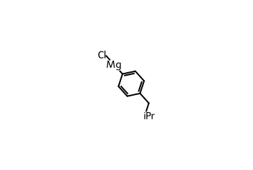 CC(C)Cc1cc[c]([Mg][Cl])cc1